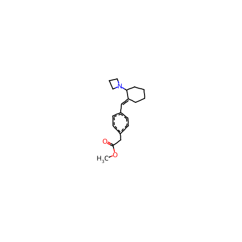 COC(=O)Cc1ccc(/C=C2\CCCCC2N2CCC2)cc1